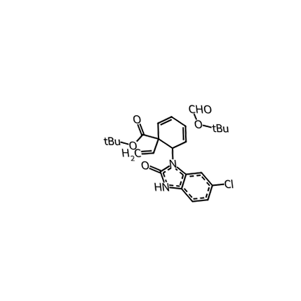 C=CC1(C(=O)OC(C)(C)C)C=CC=CC1n1c(=O)[nH]c2ccc(Cl)cc21.CC(C)(C)OC=O